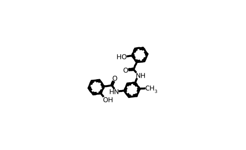 Cc1ccc(NC(=O)c2ccccc2O)cc1NC(=O)c1ccccc1O